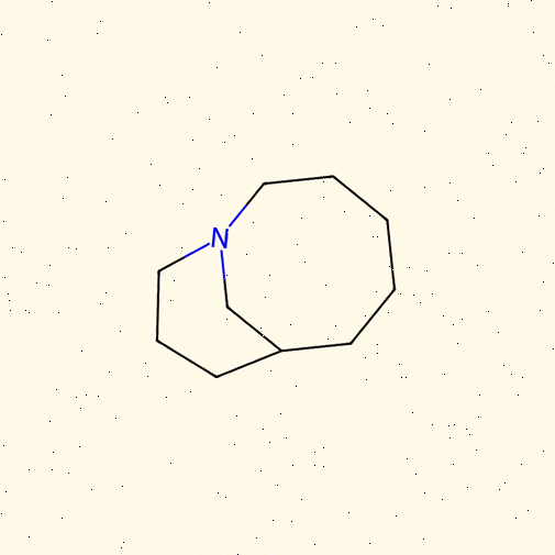 C1CCC2CCCN(CC1)C2